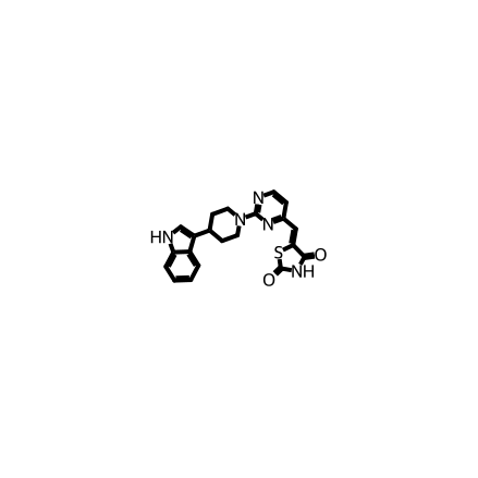 O=C1NC(=O)C(=Cc2ccnc(N3CCC(c4c[nH]c5ccccc45)CC3)n2)S1